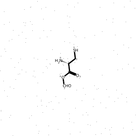 N[C@H](CS)C(=O)OC=O